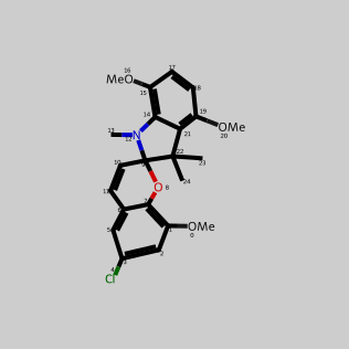 COc1cc(Cl)cc2c1OC1(C=C2)N(C)c2c(OC)ccc(OC)c2C1(C)C